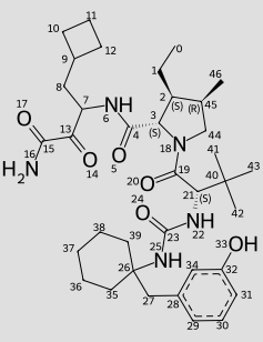 CC[C@@H]1[C@@H](C(=O)NC(CC2CCC2)C(=O)C(N)=O)N(C(=O)[C@@H](NC(=O)NC2(Cc3cccc(O)c3)CCCCC2)C(C)(C)C)C[C@@H]1C